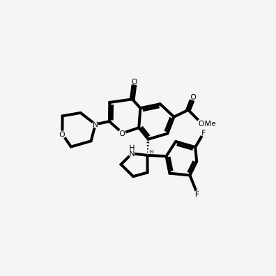 COC(=O)c1cc([C@]2(c3cc(F)cc(F)c3)CCCN2)c2oc(N3CCOCC3)cc(=O)c2c1